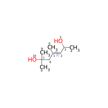 C/C(=C\C(C)O)CC(C)(C)O